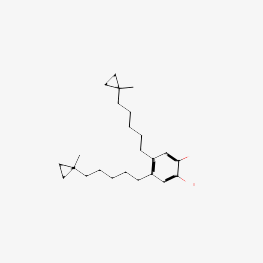 CC1(CCCCCc2cc(O)c(O)cc2CCCCCC2(C)CC2)CC1